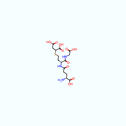 N[C@@H](CCC(=O)N[C@@H](CCSC(CC(=O)O)C(=O)O)C(=O)NCC(=O)O)C(=O)O